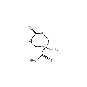 COC(=O)C1(C)COC(=O)OC1